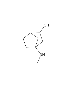 CNC12CCC(C1)C(O)C2